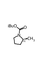 CC(C)COC(=O)N1CCC[C@@H]1C